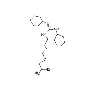 CCCCC(CC)COCCCCN/C(=N\C1CCCCC1)NC1CCCCC1